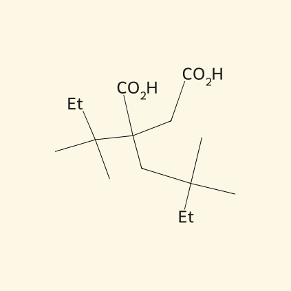 CCC(C)(C)CC(CC(=O)O)(C(=O)O)C(C)(C)CC